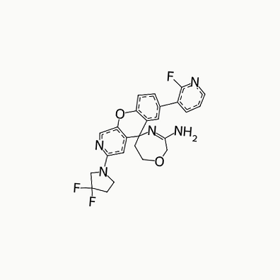 NC1=NC2(CCOC1)c1cc(-c3cccnc3F)ccc1Oc1cnc(N3CCC(F)(F)C3)cc12